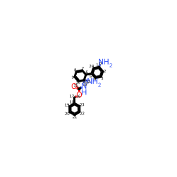 Nc1cccc(C2C=CC=CC2(N)NC(=O)OCc2ccccc2)c1